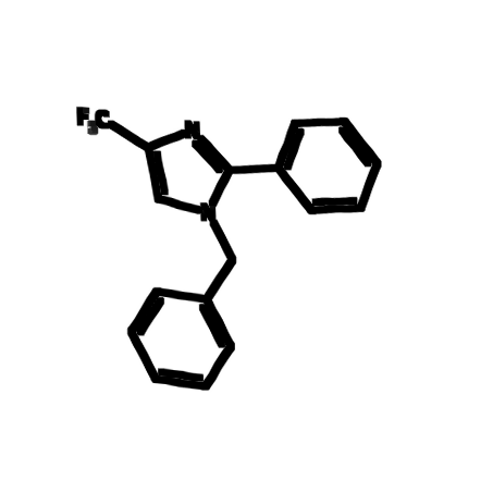 FC(F)(F)c1cn(Cc2ccccc2)c(-c2ccccc2)n1